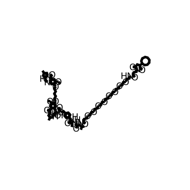 COc1cc2c(cc1OCCCCCOc1cc3c(cc1OC)C(=O)N1C=C(C)C[C@H]1[C@H](O)N3C(=O)OCc1ccc(NC(=O)C(C)NC(=O)[C@@H](NC(=O)CCOCCOCCOCCOCCOCCOCCOCCOCCNC(=O)CCN3C(=O)CC(C4CCCCCCCC4)C3=O)C(C)C)cc1)N=C[C@@H]1CC(C)=CN1C2=O